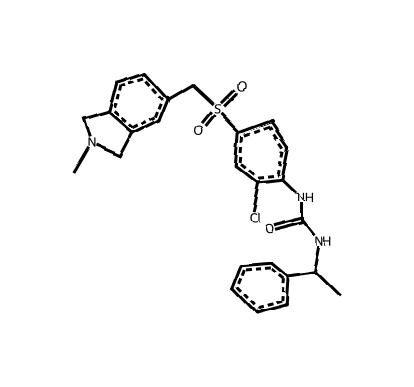 CC(NC(=O)Nc1ccc(S(=O)(=O)Cc2ccc3c(c2)CN(C)C3)cc1Cl)c1ccccc1